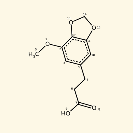 COc1cc(CCC(=O)O)cc2c1OCO2